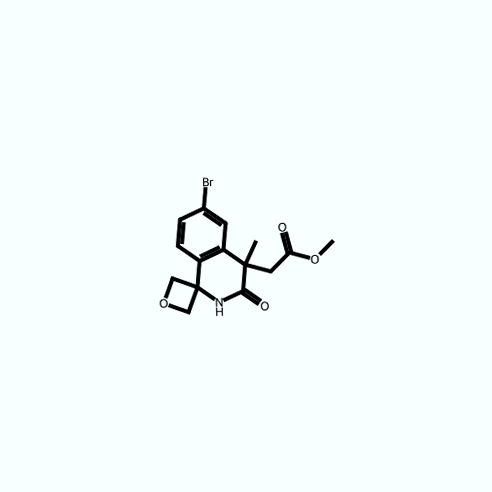 COC(=O)CC1(C)C(=O)NC2(COC2)c2ccc(Br)cc21